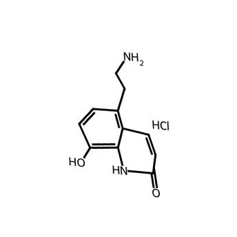 Cl.NCCc1ccc(O)c2[nH]c(=O)ccc12